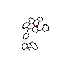 c1ccc(-c2ccc(N(c3ccc(-c4cccc5sc6ccccc6c45)cc3)c3cccc4ccc5c6ccccc6ccc5c34)cc2)cc1